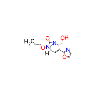 C=CCON1C(=O)N2C[C@H]1C=C(c1ncco1)[C@H]2CO